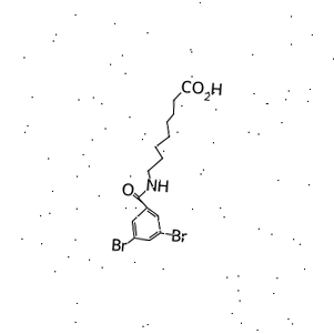 O=C(O)CCCCCCCNC(=O)c1cc(Br)cc(Br)c1